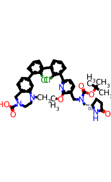 COc1nc(-c2cccc(-c3cccc(-c4ccc5c(c4)N(C)CCN(C(=O)O)C5)c3Cl)c2Cl)ccc1CN(C[C@@H]1CCC(=O)N1)C(=O)OC(C)(C)C